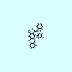 Cc1cc(=O)c(C(=O)Nc2ccccc2)c(-c2ccco2)n1Cc1ccccn1